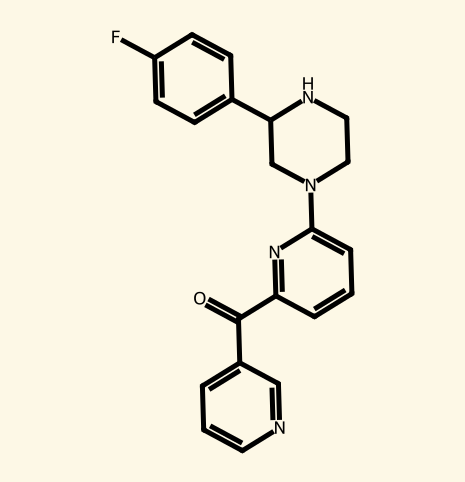 O=C(c1cccnc1)c1cccc(N2CCNC(c3ccc(F)cc3)C2)n1